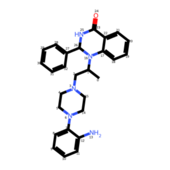 CC(CN1CCN(c2ccccc2N)CC1)N1c2ccccc2C(=O)NC1c1ccccc1